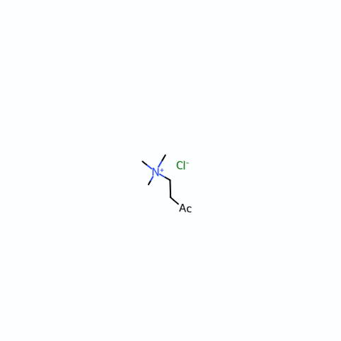 CC(=O)CC[N+](C)(C)C.[Cl-]